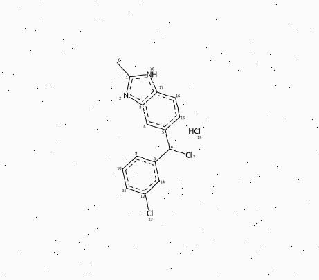 Cc1nc2cc(C(Cl)c3cccc(Cl)c3)ccc2[nH]1.Cl